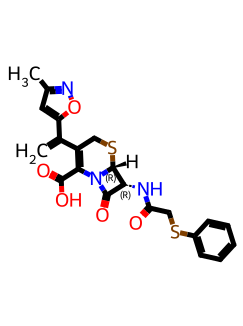 C=C(C1=C(C(=O)O)N2C(=O)[C@@H](NC(=O)CSc3ccccc3)[C@H]2SC1)c1cc(C)no1